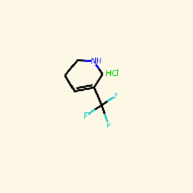 Cl.FC(F)(F)C1=CCCNC1